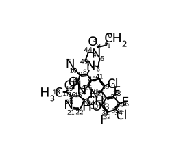 C=CC(=O)N1CCN(c2c(C#N)c(=O)n(C3C(C(C)C)=NC=C[C@H]3C)c3nc(-c4c(O)c(F)c(Cl)c(F)c4F)c(Cl)cc23)CC1